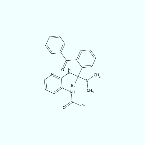 CCC(Nc1ncccc1NC(=O)C(C)C)(c1ccccc1C(=O)c1ccccc1)N(C)C